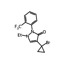 CCn1cc(C2(Br)CC2)c(=O)n1-c1ccccc1C(F)(F)F